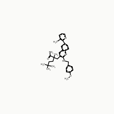 COc1ccc(CNc2nc3ccc(-c4ncccc4C)cc3cc2CC(C)(CCC(C)(C)C)C(N)=O)cc1